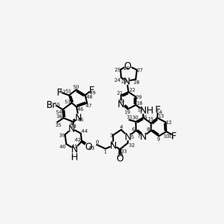 CCN1CCN(c2nc3cc(F)cc(F)c3c(Nc3cncc(N4CCOCC4)c3)c2C)CC1=O.Cc1c(N2CCNC(=O)C2)nc2cc(F)cc(F)c2c1Br